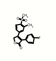 Cc1cc(C2=C(c3ccc(F)cc3)C(=O)OC2)ccc1S(C)(=O)=O